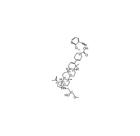 C=C(C)[C@@H]1CC[C@]2(NC[C@H](O)COC)CC[C@]3(C)[C@H](CC[C@@H]4[C@@]5(C)CC=C(C6=CC[C@](COc7ncccc7C#N)(C(=O)O)CC6)C(C)(C)[C@@H]5CC[C@]43C)[C@@H]12